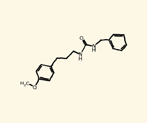 COc1ccc(CCCNC(=O)NCc2ccccc2)cc1